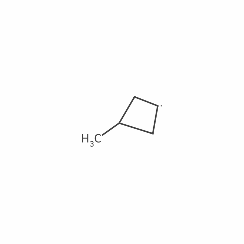 CC1C[CH]C1